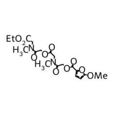 CCOC(=O)CN(C)C(=O)COC(=O)CN(C)C(=O)COC(=O)c1ccc(OC)o1